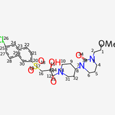 COCCN1CCCN(C2CCN(C(=O)[C@H](O)CS(=O)(=O)c3ccc4cc(Cl)ccc4c3)CC2)C1=O